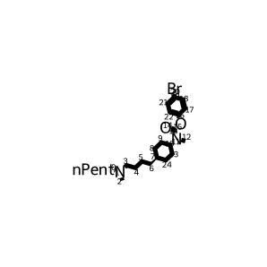 CCCCCN(C)CCCC[C@H]1CC[C@H](N(C)C(=O)Oc2ccc(Br)cc2)CC1